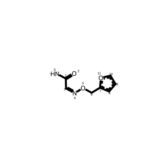 [NH]C(=O)/C=N\OCc1ccco1